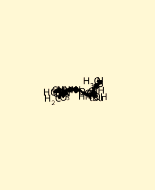 C=CCn1c(=O)c2cnc(Nc3ccc(N4CCN(CCOCCCC(=O)N[C@H](C(=O)N5C[C@H](O)C[C@H]5C(=O)NCc5ccc(-c6scnc6C)cc5)C(C)(C)C)CC4)cc3)nc2n1-c1cccc(C(C)(C)O)n1